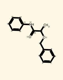 CC(OCc1ccccc1)C(=O)Nc1ccccc1